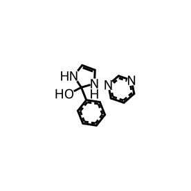 OC1(c2ccccc2)NC=CN1.c1cncnc1